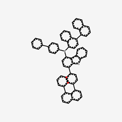 c1ccc(-c2ccc(N(c3ccc(-c4cccc5ccccc45)c4ccccc34)c3ccc(-c4ccc(-c5cccc6cccc(-c7ccccc7)c56)cc4)c4sc5ccccc5c34)cc2)cc1